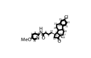 COc1ccc(NC(=O)CCC[C@@H]2CC(=O)[C@@]3(C)CCC4c5ccc(Cl)cc5CCC4C23)nc1